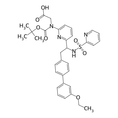 CCOc1cccc(-c2ccc(CC(NS(=O)(=O)c3ccccn3)c3cccc(N(CC(=O)O)C(=O)OC(C)(C)C)n3)cc2)c1